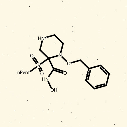 CCCCCS(=O)(=O)C1(C(=O)NO)CNCCN1OCc1ccccc1